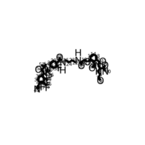 CNC(=O)C(CCC=O)N1C(=O)c2cccc(OCC(=O)NCCCCNC(=O)c3ccc(N4C(=S)N(c5ccc(C#N)c(C(F)(F)F)c5F)C(=O)C4(C)C)cc3F)c2C1=O